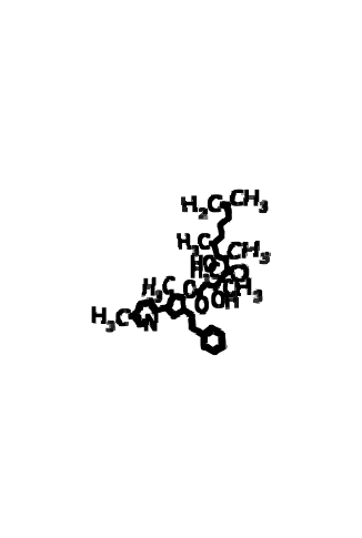 C=C(C)CCCC(C)C(O)C(C)C(=O)C(C)(C)C(O)CC(=O)OC1C(C)=C(c2ccc(C)cn2)CC1/C=C/c1ccccc1